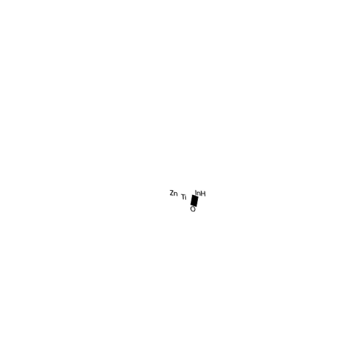 [O]=[InH].[Ti].[Zn]